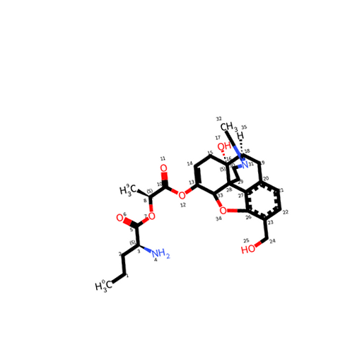 CCC[C@H](N)C(=O)O[C@@H](C)C(=O)OC1=CC[C@@]2(O)[C@H]3Cc4ccc(CO)c5c4C2(CCN3C)C1O5